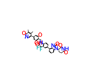 COc1cc(-c2cn(C)c(=O)c(C)c2C)cc(O)c1CN1C(=O)C(F)(F)c2cc(-c3cccc4c3n(C)c(=O)n4C3CCC(=O)NC3=O)ccc21